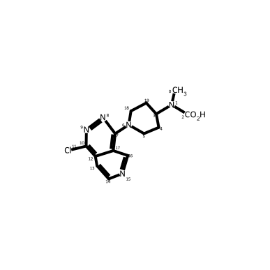 CN(C(=O)O)C1CCN(c2nnc(Cl)c3ccncc23)CC1